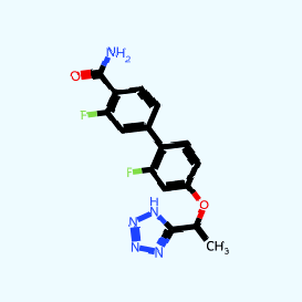 CC(Oc1ccc(-c2ccc(C(N)=O)c(F)c2)c(F)c1)c1nnn[nH]1